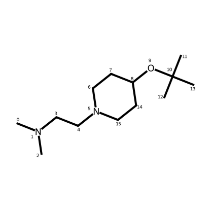 CN(C)CCN1CCC(OC(C)(C)C)CC1